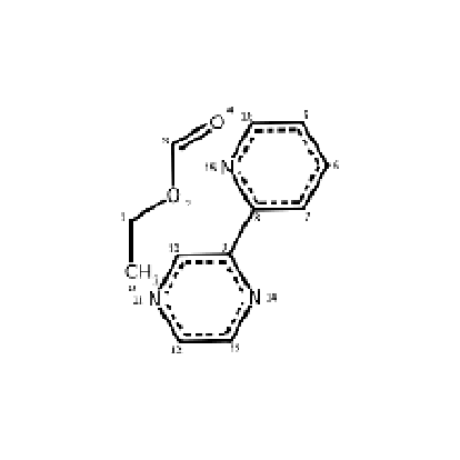 CCOC=O.c1ccc(-c2cnccn2)nc1